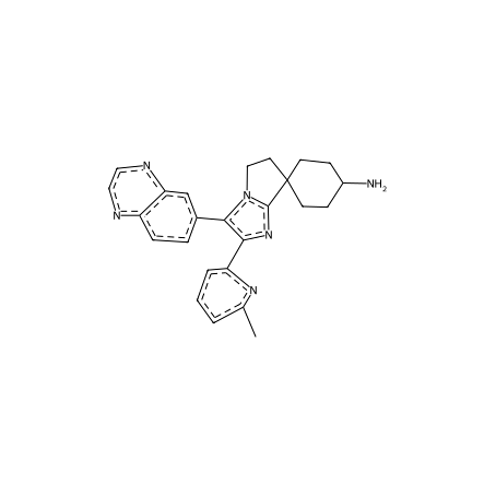 Cc1cccc(-c2nc3n(c2-c2ccc4nccnc4c2)CCC32CCC(N)CC2)n1